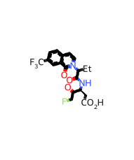 CCC(C(=O)N[C@@H](CC(=O)O)C(=O)CF)n1ccc2ccc(C(F)(F)F)cc2c1=O